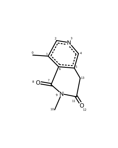 Cc1cncc2c1C(=O)N(C)C(=O)C2